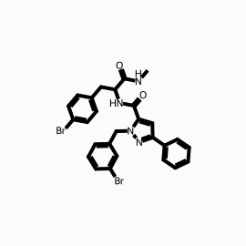 CNC(=O)C(Cc1ccc(Br)cc1)NC(=O)c1cc(-c2ccccc2)nn1Cc1cccc(Br)c1